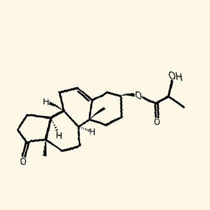 CC(O)C(=O)O[C@H]1CC[C@@]2(C)C(=CC[C@@H]3[C@@H]2CC[C@]2(C)C(=O)CC[C@@H]32)C1